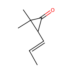 CC=CC1C(=O)C1(C)C